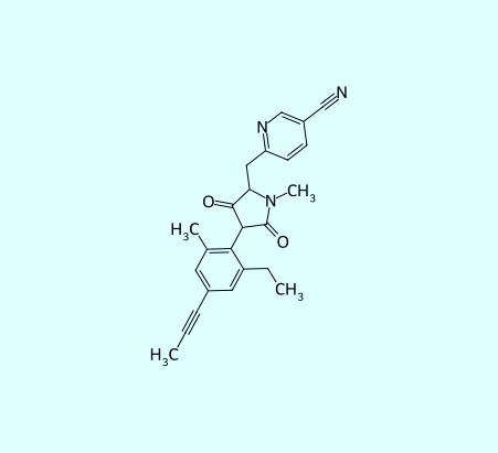 CC#Cc1cc(C)c(C2C(=O)C(Cc3ccc(C#N)cn3)N(C)C2=O)c(CC)c1